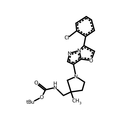 CC1(CNC(=O)OC(C)(C)C)CCN(c2cnn3c(-c4ccccc4Cl)coc23)C1